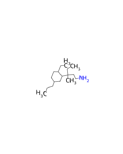 CCCC1CCC(CC)C(C(C)(CC)CCN)C1